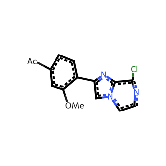 COc1cc(C(C)=O)ccc1-c1cn2ccnc(Cl)c2n1